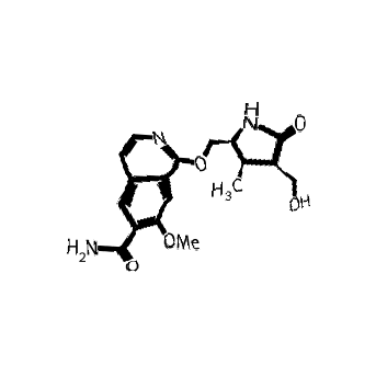 COc1cc2c(OC[C@H]3NC(=O)[C@@H](CO)[C@H]3C)nccc2cc1C(N)=O